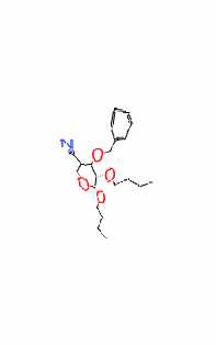 CCCCO[C@@H]1OC[C@@H](C#N)[C@@H](OCc2ccccc2)[C@@H]1OCCCC